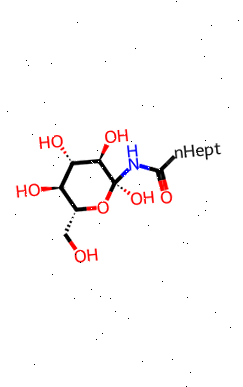 CCCCCCCC(=O)N[C@@]1(O)O[C@H](CO)[C@@H](O)[C@H](O)[C@H]1O